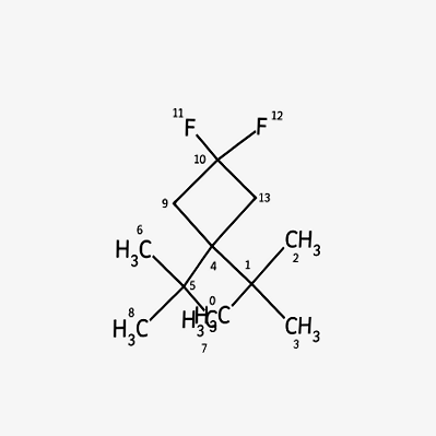 CC(C)(C)C1(C(C)(C)C)CC(F)(F)C1